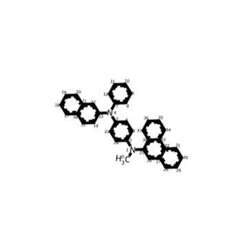 CN(c1ccc(N(c2ccccc2)c2ccc3ccccc3c2)cc1)c1cc2ccccc2c2ccccc12